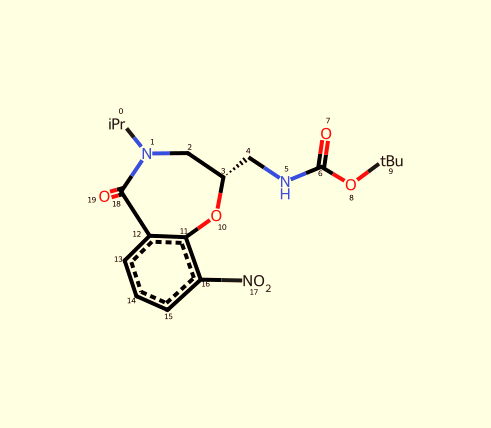 CC(C)N1C[C@H](CNC(=O)OC(C)(C)C)Oc2c(cccc2[N+](=O)[O-])C1=O